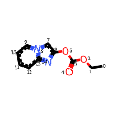 CCOC(=O)Oc1cn2ccccc2n1